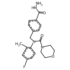 Cc1cc(F)ccc1N(Cc1ccc(C(=O)NN)cc1)C(=O)N1CCOCC1